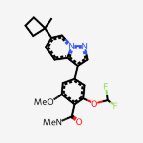 CNC(=O)c1c(OC)cc(-c2cnn3cc(C4(C)CCC4)ccc23)cc1OC(F)F